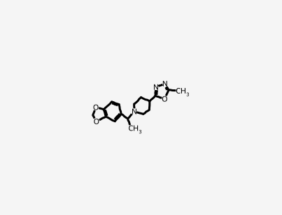 Cc1nnc(C2CCN(C(C)c3ccc4c(c3)OCO4)CC2)o1